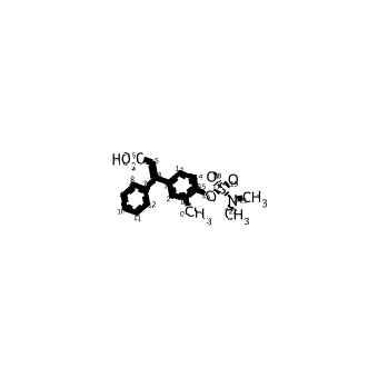 Cc1cc(C(=CC(=O)O)c2ccccc2)ccc1OS(=O)(=O)N(C)C